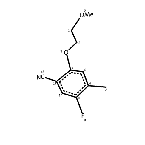 COCCOc1cc(C)c(F)cc1C#N